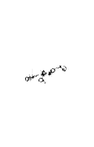 COc1ccccc1Oc1c(NS(=O)(=O)c2ccc(CCC(=O)N3CCOCC3)cc2)ncnc1OCCOC(=O)Nc1ccccn1